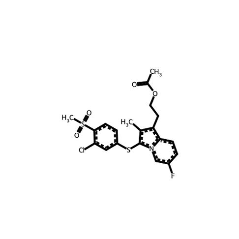 CC(=O)OCCc1c(C)c(Sc2ccc(S(C)(=O)=O)c(Cl)c2)n2cc(F)ccc12